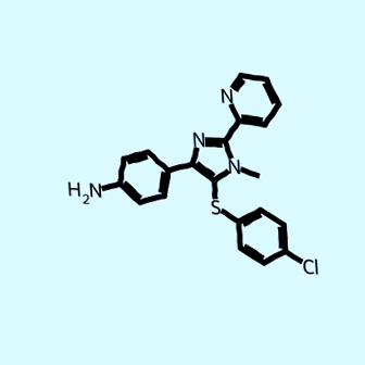 Cn1c(-c2ccccn2)nc(-c2ccc(N)cc2)c1Sc1ccc(Cl)cc1